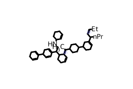 CC/C=C\C(CCC)C1=CCCC(C2CCC(/C(C)=C3\C=CCCC3C(CNC3C=CCCC3)C3=CCC(C4=CCCC=C4)C=C3)CC2)C1